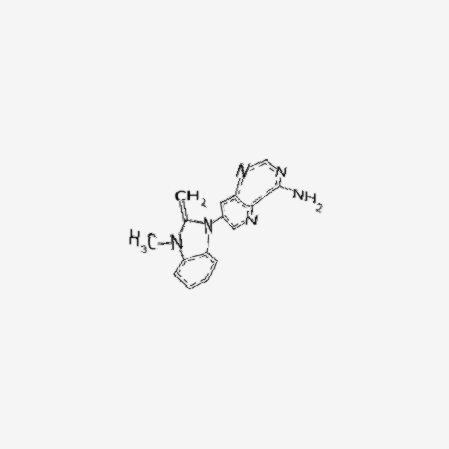 C=C1N(C)c2ccccc2N1c1cnc2c(N)ncnc2c1